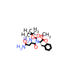 COC(=O)[C@H](Cc1ccccc1)N(C(=O)OC(C)(C)C)C(=O)[C@@H](N)CC(N)=O